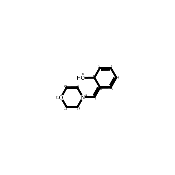 OC1C=CC=CC1=CN1CCOCC1